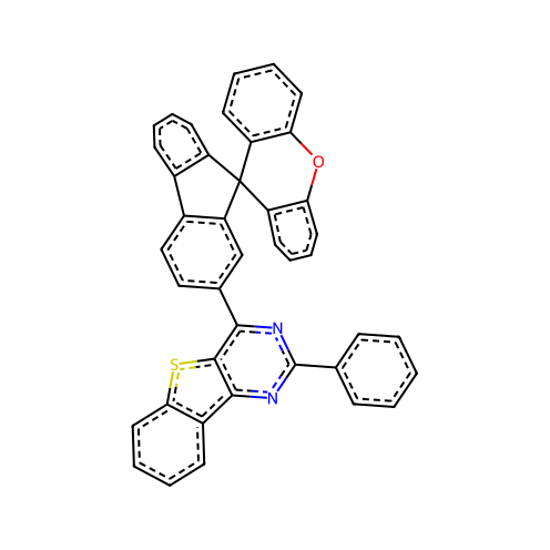 c1ccc(-c2nc(-c3ccc4c(c3)C3(c5ccccc5Oc5ccccc53)c3ccccc3-4)c3sc4ccccc4c3n2)cc1